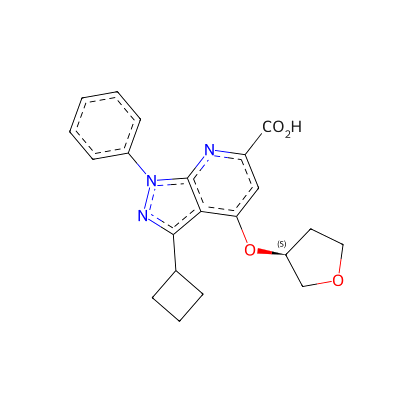 O=C(O)c1cc(O[C@H]2CCOC2)c2c(C3CCC3)nn(-c3ccccc3)c2n1